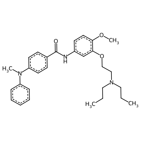 CCCN(CCC)CCOc1cc(NC(=O)c2ccc(N(C)c3ccccc3)cc2)ccc1OC